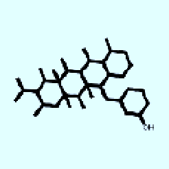 CC(C)C1C(C)CC2(C)C(C)C3(C)C(CC4CCCC(O)C4)C4CCCC(C)C4C(C)C3C(C)C2(C)C1C